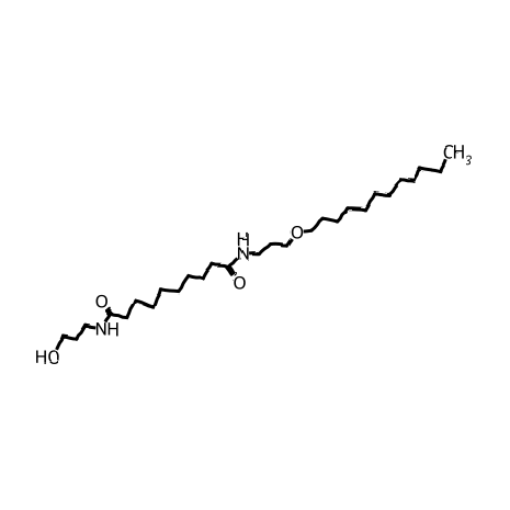 CCCCCCCCCCCCOCCCNC(=O)CCCCCCCCC(=O)NCCCO